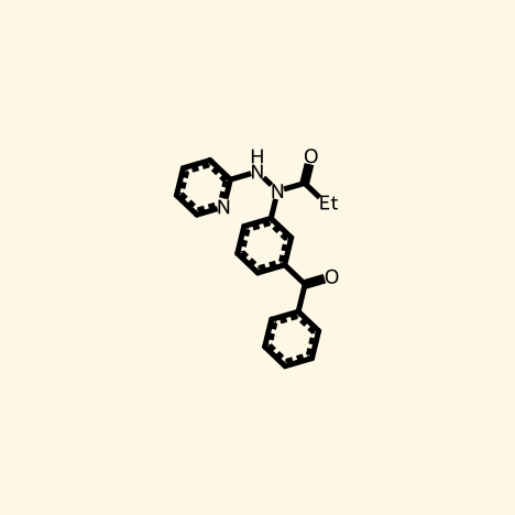 CCC(=O)N(Nc1ccccn1)c1cccc(C(=O)c2ccccc2)c1